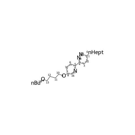 CCCCCCCc1ccc(-c2ccc(OCCCCOCCCC)cn2)nn1